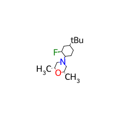 C[C@@H]1CN([C@@H]2CCC(C(C)(C)C)C[C@@H]2F)C[C@H](C)O1